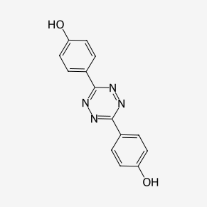 Oc1ccc(-c2nnc(-c3ccc(O)cc3)nn2)cc1